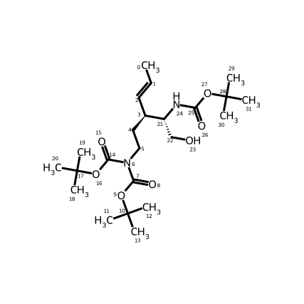 CC=C[C@H](CCN(C(=O)OC(C)(C)C)C(=O)OC(C)(C)C)[C@@H](CO)NC(=O)OC(C)(C)C